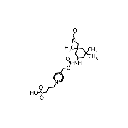 CC1(C)CC(NC(=O)OCc2cc[n+](CCCS(=O)(=O)O)cc2)CC(C)(CN=C=O)C1